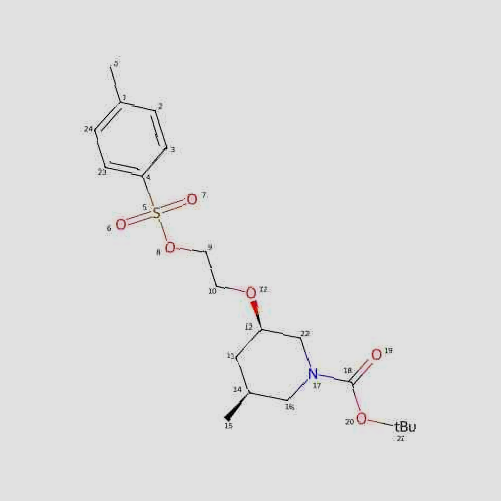 Cc1ccc(S(=O)(=O)OCCO[C@@H]2C[C@H](C)CN(C(=O)OC(C)(C)C)C2)cc1